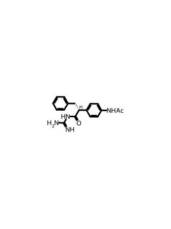 CC(=O)Nc1ccc([C@@H](Cc2ccccc2)C(=O)NC(=N)N)cc1